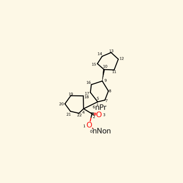 CCCCCCCCCOC(=O)C1([C@]2(CCC)CC[C@H](C3CCCCC3)CC2)CCCCC1